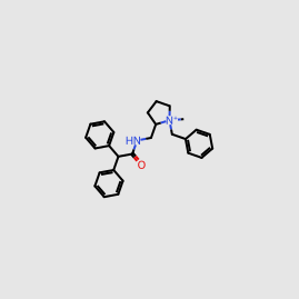 C[N+]1(Cc2ccccc2)CCCC1CNC(=O)C(c1ccccc1)c1ccccc1